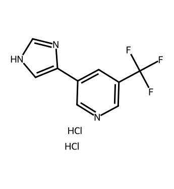 Cl.Cl.FC(F)(F)c1cncc(-c2c[nH]cn2)c1